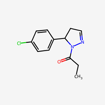 CCC(=O)N1N=CCC1c1ccc(Cl)cc1